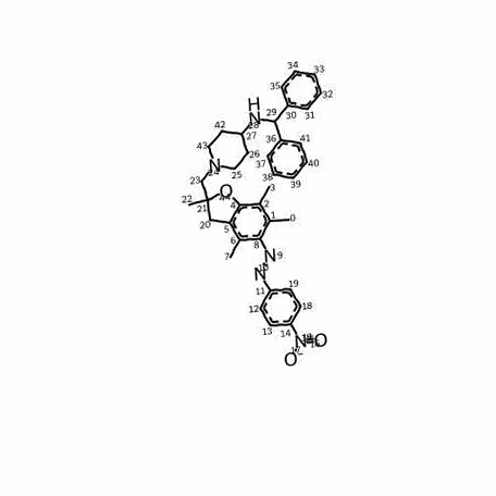 Cc1c(C)c2c(c(C)c1N=Nc1ccc([N+](=O)[O-])cc1)CC(C)(CN1CCC(NC(c3ccccc3)c3ccccc3)CC1)O2